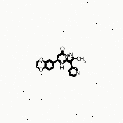 Cc1nn2c(=O)cc(-c3ccc4c(c3)OCCO4)[nH]c2c1-c1cccnc1